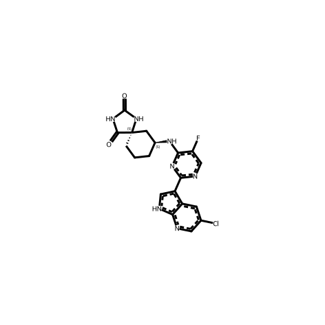 O=C1NC(=O)[C@@]2(CCC[C@H](Nc3nc(-c4c[nH]c5ncc(Cl)cc45)ncc3F)C2)N1